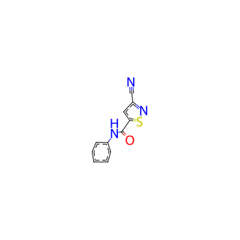 N#Cc1cc(C(=O)Nc2ccccc2)sn1